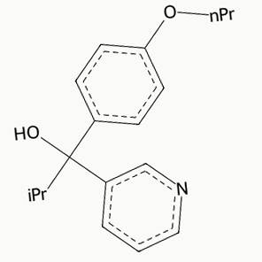 CCCOc1ccc(C(O)(c2cccnc2)C(C)C)cc1